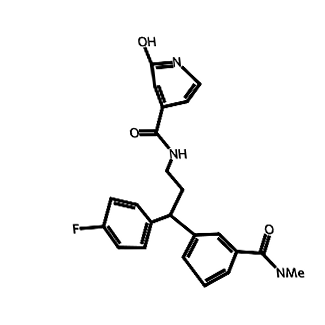 CNC(=O)c1cccc(C(CCNC(=O)c2ccnc(O)c2)c2ccc(F)cc2)c1